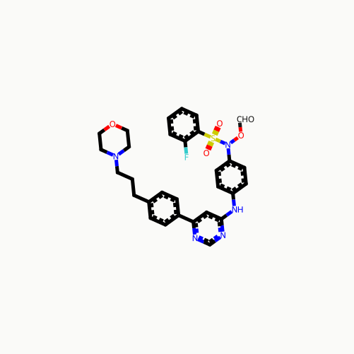 O=CON(c1ccc(Nc2cc(-c3ccc(CCCN4CCOCC4)cc3)ncn2)cc1)S(=O)(=O)c1ccccc1F